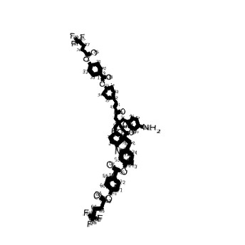 Nc1ccc(CC(CC(=O)/C=C/c2ccc(OC(=O)c3ccc(OC(=O)CCC(F)(F)F)cc3)cc2)(Cc2ccc(N)cc2)C(O)(O)C(=O)/C=C/c2ccc(OC(=O)c3ccc(OC(=O)CCC(F)(F)F)cc3)cc2)cc1